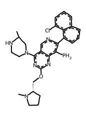 CC1CN(c2nc(OC[C@@H]3CCCN3C)nc3c(P)c(-c4cccc5cccc(Cl)c45)ncc23)CCN1